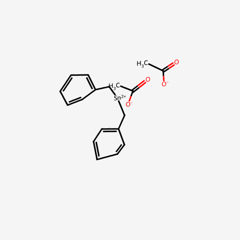 CC(=O)[O-].CC(=O)[O-].c1ccc([CH2][Sn+2][CH2]c2ccccc2)cc1